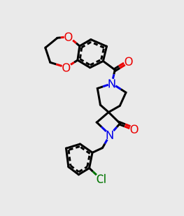 O=C(c1ccc2c(c1)OCCCO2)N1CCC2(CC1)CN(Cc1ccccc1Cl)C2=O